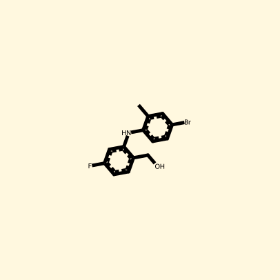 Cc1cc(Br)ccc1Nc1cc(F)ccc1CO